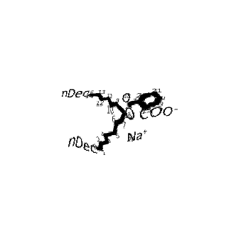 CCCCCCCCCCCCCCCCCC(CCCCCCCCCCCCCCCC)OC(=O)c1ccccc1C(=O)[O-].[Na+]